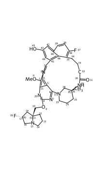 COc1c2ncc3c(nc(OC[C@@]45CCCN4C[C@H](F)C5)nc13)N1CCC[C@](C)(C1)NC(=O)CCCc1c(F)ccc3cc(O)cc-2c13